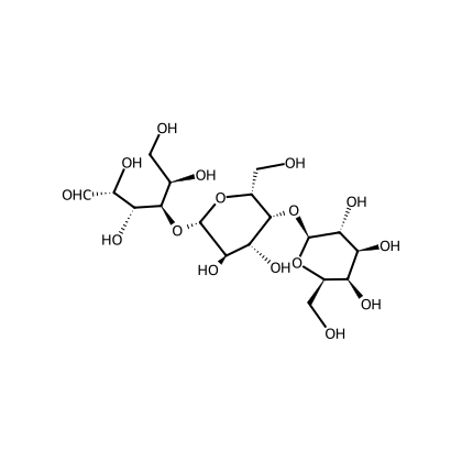 O=C[C@H](O)[C@@H](O)[C@H](O[C@@H]1O[C@H](CO)[C@H](O[C@@H]2O[C@H](CO)[C@H](O)[C@H](O)[C@H]2O)[C@H](O)[C@H]1O)[C@H](O)CO